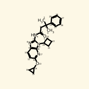 CC(C)(CC(=O)Nc1nc2ccc(OC3CC3)nc2n1C1CCC1)c1ccccc1